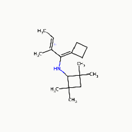 C/C=C(\C)C(NC1C(C)(C)CC1(C)C)=C1CCC1